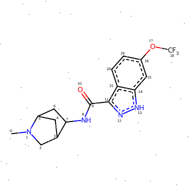 CN1CC2CC1CC2NC(=O)c1n[nH]c2cc(OC(F)(F)F)ccc12